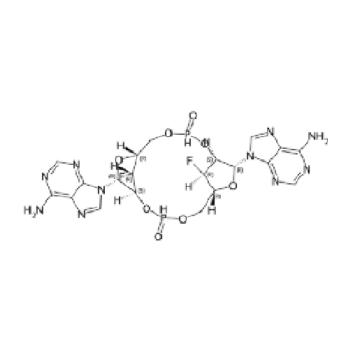 Nc1ncnc2c1ncn2[C@@H]1O[C@@H]2CO[PH](=O)O[C@@H]3[C@H](F)[C@@H](CO[PH](=O)O[C@@H]1[C@@H]2F)O[C@H]3n1cnc2c(N)ncnc21